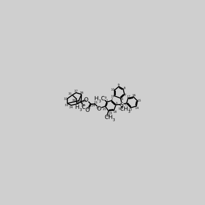 Cc1cc(S(C)(c2ccccc2)c2ccccc2)cc(C)c1OCC(=O)OC1(C)C2CC3CC(C2)CC1C3